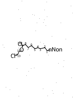 CCCCCCCCCCCCCCCCCC(=O)OCCCl